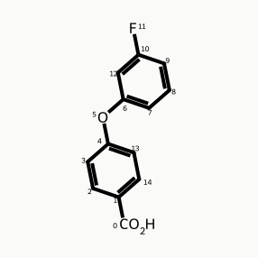 O=C(O)c1ccc(Oc2cccc(F)c2)cc1